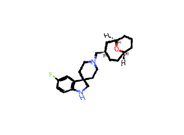 Fc1ccc2c(c1)C1(CCN(C[C@@H]3CC[C@H]4CCC[C@H](C3)O4)CC1)CN2